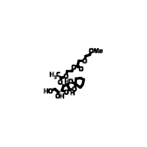 COCCOCC(=O)OCCOC(C)O[C@@H]1[C@H]2OC3(CCCCC3)O[C@H]2O[C@@H]1C(O)CO